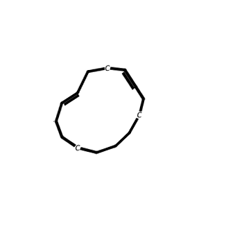 [CH]1/C=C/CC/C=C\CCCCCCC1